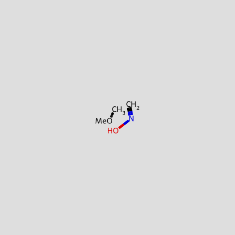 C=NO.COC